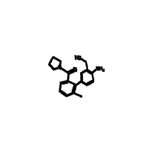 Cc1cccc(C(=O)N2CCCC2)c1-c1ccc(N)c(CO)c1